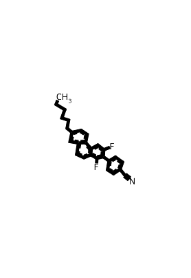 CCCCCCc1ccc2c(ccc3c(F)c(-c4ccc(C#N)cc4)c(F)cc32)c1